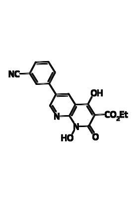 CCOC(=O)c1c(O)c2cc(-c3cccc(C#N)c3)cnc2n(O)c1=O